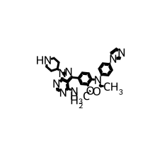 COc1cc(-c2nn(C3CCNCC3)c3ncnc(N)c23)ccc1N(C(C)=O)c1ccc(-n2ccnc2)cc1